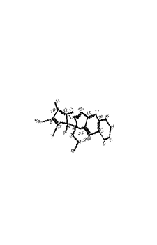 CCCC1(C2(C)C(C)=C(C)C(C)=C2C)C=Cc2cc3c(cc21)CCCC3